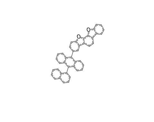 c1ccc2c(-c3c4ccccc4c(-c4ccc5oc6c(ccc7c8ccccc8oc76)c5c4)c4ccccc34)cccc2c1